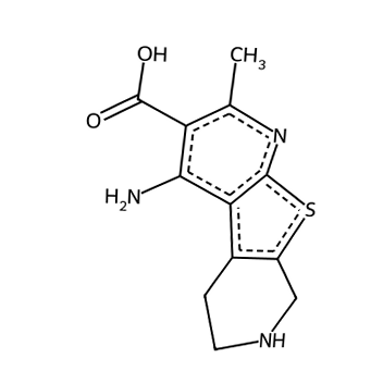 Cc1nc2sc3c(c2c(N)c1C(=O)O)CCNC3